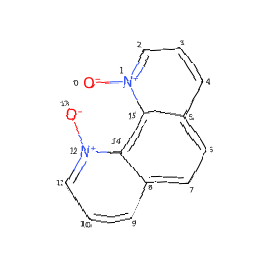 [O-][n+]1cccc2ccc3ccc[n+]([O-])c3c21